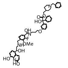 COc1c(CNCC(O)c2ccc(O)c3[nH]c(=O)ccc23)ccc(C(=O)NCCCOc2cccc(C(O)(C(=O)OCC3CCN(Cc4ccccc4)CC3)c3ccccc3)c2)c1F